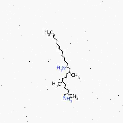 CC=CCCC=CCCC=CCC(N)CC(C)CCCC(C)CCCC(C)CN